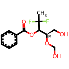 CC(F)(F)C(OC(=O)c1ccccc1)[C@@H](CO)OCO